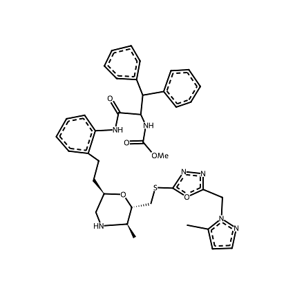 COC(=O)NC(C(=O)Nc1ccccc1CC[C@@H]1CN[C@H](C)[C@@H](CSc2nnc(Cn3nccc3C)o2)O1)C(c1ccccc1)c1ccccc1